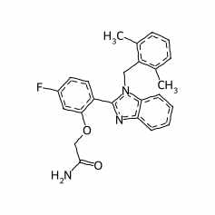 Cc1cccc(C)c1Cn1c(-c2ccc(F)cc2OCC(N)=O)nc2ccccc21